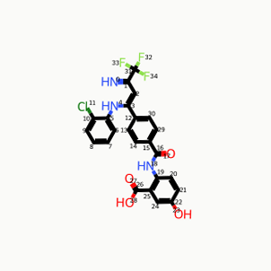 N=C(/C=C(\Nc1ccccc1Cl)c1ccc(C(=O)Nc2ccc(O)cc2C(=O)O)cc1)C(F)(F)F